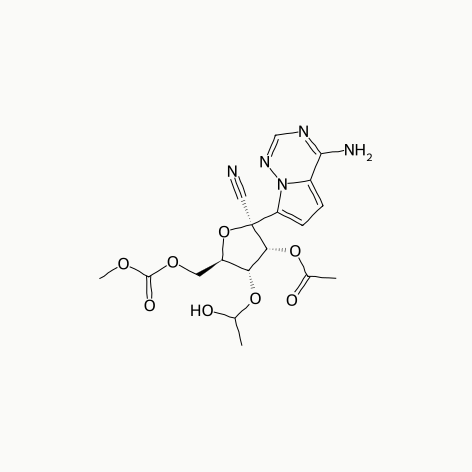 COC(=O)OC[C@H]1O[C@@](C#N)(c2ccc3c(N)ncnn23)[C@H](OC(C)=O)[C@@H]1OC(C)O